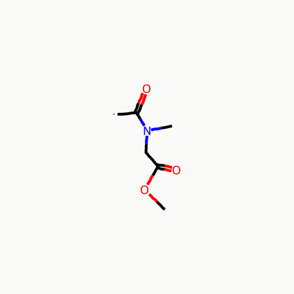 [CH2]C(=O)N(C)CC(=O)OC